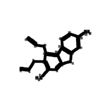 C=CCc1c(N)cc2sc3cc(N)ccc3c2c1CC=C